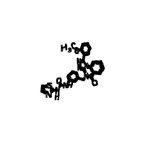 COc1ccccc1-c1nnc2n(Cc3cccc(NC(=O)Nc4nccs4)c3)c(=O)c3ccccc3n12